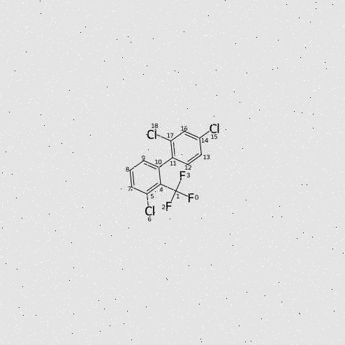 FC(F)(F)c1c(Cl)[c]ccc1-c1ccc(Cl)cc1Cl